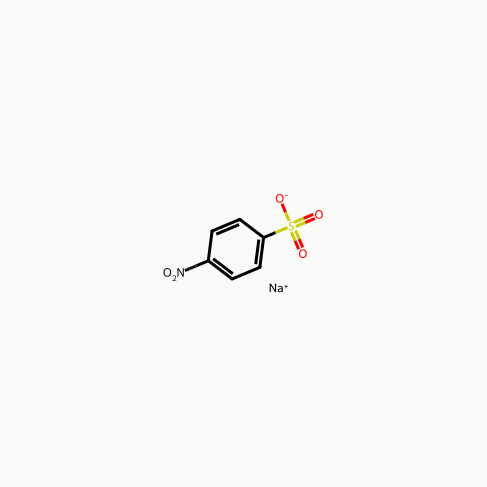 O=[N+]([O-])c1ccc(S(=O)(=O)[O-])cc1.[Na+]